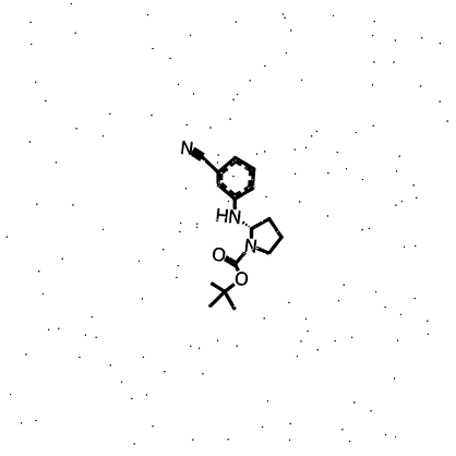 CC(C)(C)OC(=O)N1CCC[C@H]1Nc1cccc(C#N)c1